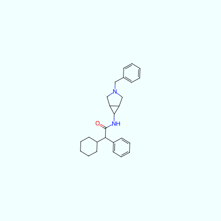 O=C(NC1C2CN(Cc3ccccc3)CC21)C(c1ccccc1)C1CCCCC1